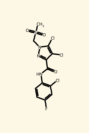 CS(=O)(=O)Cn1nc(C(=O)Nc2ccc(F)cc2Cl)c(Cl)c1Cl